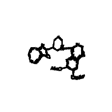 COc1cc2ncnc(N3CCCC(c4nc5ccccc5o4)C3)c2cc1OC